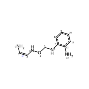 N/C=C\NOCNc1ccccc1N